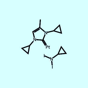 Cc1cn(C2CC2)[c](=[Pt])n1C1CC1.IN(I)C1CC1